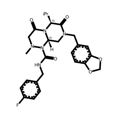 CC(C)[C@H]1C(=O)N(Cc2ccc3c(c2)OCO3)C[C@H]2N1C(=O)CN(C)N2C(=O)NCc1ccc(F)cc1